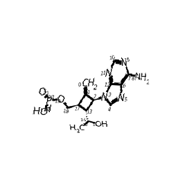 C=C1[C@@H](n2cnc3c(N)ncnc32)[C@H](C(C)O)[C@H]1CO[PH](=O)O